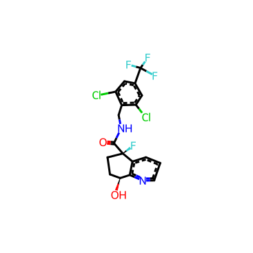 O=C(NCc1c(Cl)cc(C(F)(F)F)cc1Cl)[C@@]1(F)CC[C@H](O)c2ncccc21